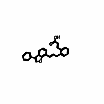 O=C(O)C=Cc1ccccc1CC=Cc1cccc2c(-c3ccccc3)coc12